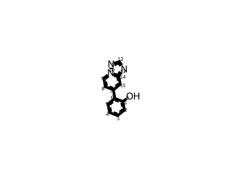 Oc1ccccc1-c1ccn2ncnc2c1